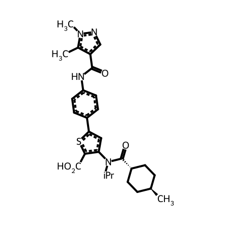 Cc1c(C(=O)Nc2ccc(-c3cc(N(C(=O)[C@H]4CC[C@H](C)CC4)C(C)C)c(C(=O)O)s3)cc2)cnn1C